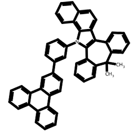 CC1(C)c2ccccc2-c2c(n(-c3cccc(-c4ccc5c6ccccc6c6ccccc6c5c4)c3)c3c2ccc2ccccc23)-c2ccccc21